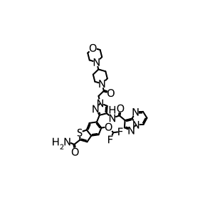 NC(=O)c1cc2cc(OC(F)F)c(-c3nn(CC(=O)N4CCC(N5CCOCC5)CC4)cc3NC(=O)c3cnn4cccnc34)cc2s1